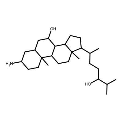 CC(C)C(O)CCC(C)C1CCC2C3C(O)CC4CC(N)CCC4(C)C3CCC12C